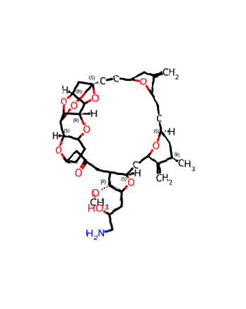 C=C1CC2CC[C@@]34C[C@H]5OC6C(O3)[C@H]3OC(CCC3O[C@H]6C5O4)CC(=O)CC3[C@@H](OC)C(CC(O)CN)O[C@H]3CC3O[C@@H](CCC1O2)C[C@@H](C)C3=C